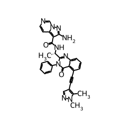 Cc1c(C#Cc2cccc3nc([C@H](C)NC(=O)c4c(N)nn5cnccc45)n(-c4ccccc4)c(=O)c23)cnn1C